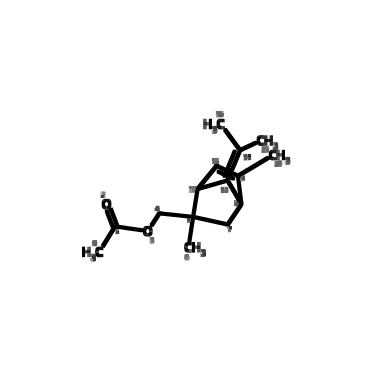 CC(=O)OCC1(C)CC2C(C)=CC1C2=C(C)C